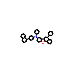 c1ccc(-c2cc3c4cc(N(c5ccccc5)c5ccc(-c6cccc7ccccc67)cc5)ccc4oc3c3ccccc23)cc1